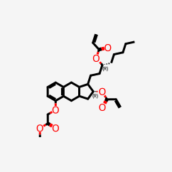 C=CC(=O)O[C@H](CCCCC)CCC1C2Cc3cccc(OCC(=O)OC)c3CC2C[C@H]1OC(=O)C=C